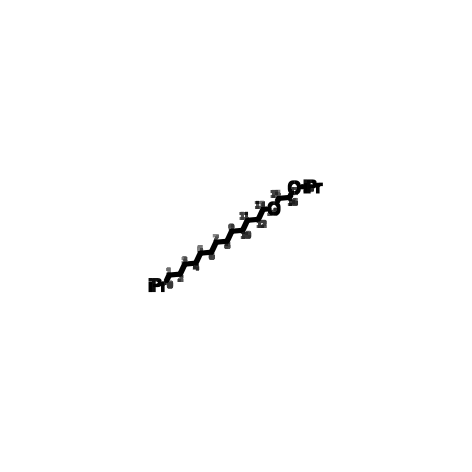 CC(C)CCCCCCCCCCCCCOCCOC(C)C